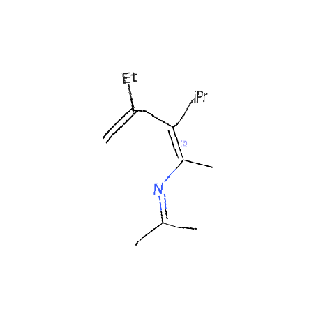 C=C(CC)/C(=C(/C)N=C(C)C)C(C)C